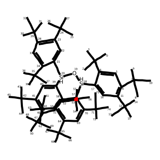 CC(C)(C)c1cc(C(C)(C)C)c(C(C)(C)C)cc1[SiH](O[SiH](c1cc(C(C)(C)C)c(C(C)(C)C)cc1C(C)(C)C)c1cc(C(C)(C)C)c(C(C)(C)C)cc1C(C)(C)C)c1cc(C(C)(C)C)c(C(C)(C)C)cc1C(C)(C)C